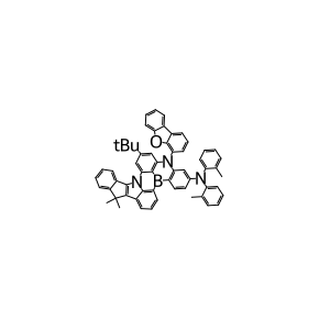 Cc1ccccc1N(c1ccc2c(c1)N(c1cccc3c1oc1ccccc13)c1cc(C(C)(C)C)cc3c1B2c1cccc2c4c(n-3c12)-c1ccccc1C4(C)C)c1ccccc1C